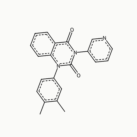 Cc1ccc(-n2c(=O)n(-c3cccnc3)c(=O)c3ccccc32)cc1C